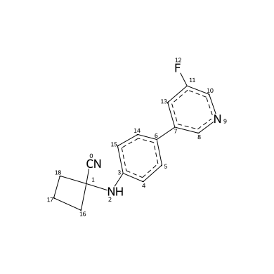 N#CC1(Nc2ccc(-c3cncc(F)c3)cc2)CCC1